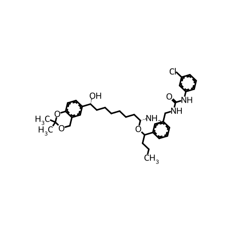 CCCC(O[C@@H](N)CCCCCC[C@@H](O)c1ccc2c(c1)COC(C)(C)O2)c1cccc(CNC(=O)Nc2cccc(Cl)c2)c1